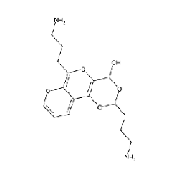 NCCCC1=C2OC=CC=C2C2=C(O1)C(O)OC(CCCN)O2